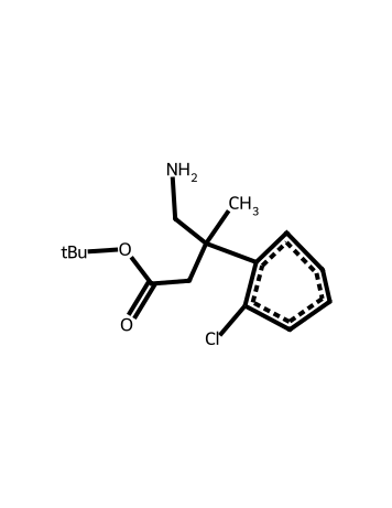 CC(C)(C)OC(=O)CC(C)(CN)c1ccccc1Cl